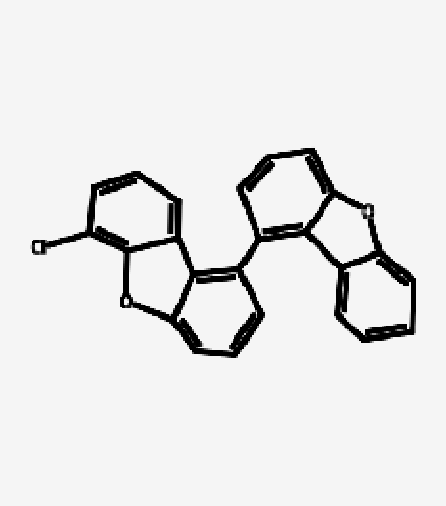 Clc1cccc2c1oc1cccc(-c3cccc4oc5ccccc5c34)c12